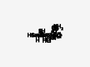 Cl.Cl.NS(=O)(=O)c1ccc(-c2c(-c3ccccc3)noc2CCCCCCN(CCS)CCNCCS)cc1